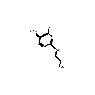 CCc1nc(NCCOC)ncc1C(=O)O